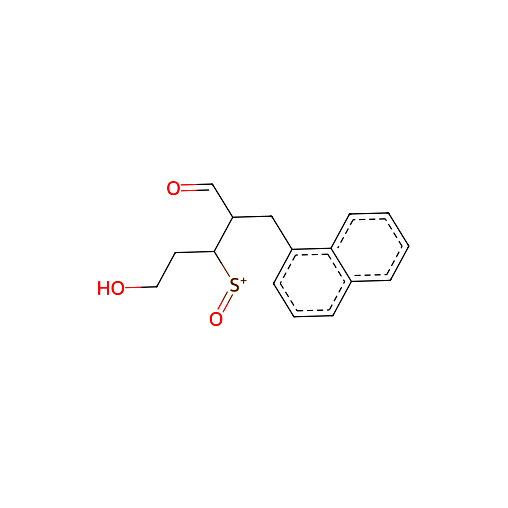 O=CC(Cc1cccc2ccccc12)C(CCO)[S+]=O